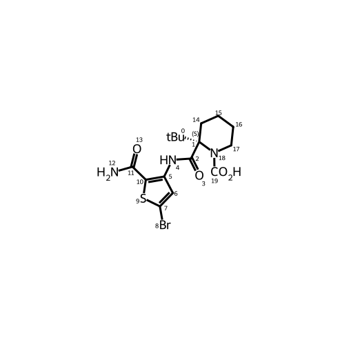 CC(C)(C)[C@]1(C(=O)Nc2cc(Br)sc2C(N)=O)CCCCN1C(=O)O